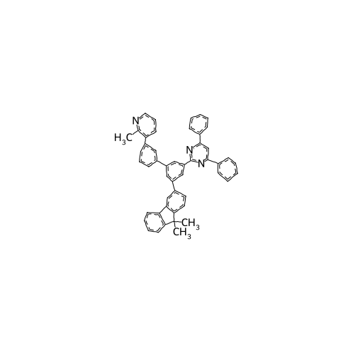 Cc1ncccc1-c1cccc(-c2cc(-c3ccc4c(c3)-c3ccccc3C4(C)C)cc(-c3nc(-c4ccccc4)cc(-c4ccccc4)n3)c2)c1